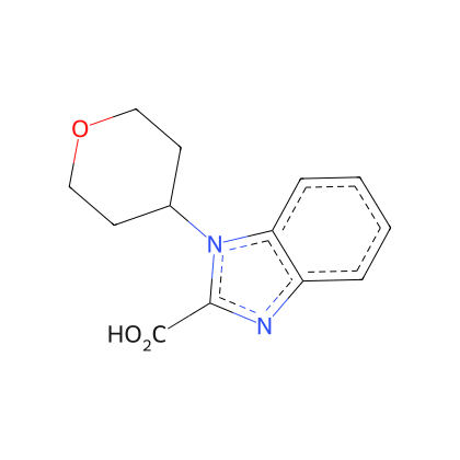 O=C(O)c1nc2ccccc2n1C1CCOCC1